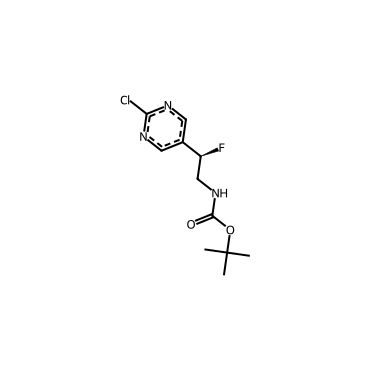 CC(C)(C)OC(=O)NC[C@H](F)c1cnc(Cl)nc1